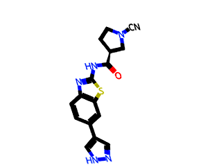 N#CN1CC[C@H](C(=O)Nc2nc3ccc(-c4cn[nH]c4)cc3s2)C1